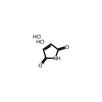 Cl.Cl.O=C1C=CC(=O)N1